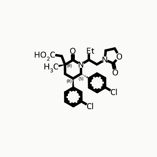 CCC(CN1CCOC1=O)N1C(=O)[C@@](C)(CC(=O)O)C[C@H](c2cccc(Cl)c2)[C@H]1c1ccc(Cl)cc1